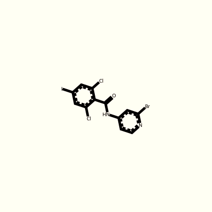 O=C(Nc1ccnc(Br)c1)c1c(Cl)cc(I)cc1Cl